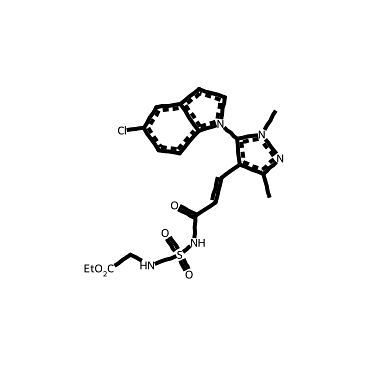 CCOC(=O)CNS(=O)(=O)NC(=O)C=Cc1c(C)nn(C)c1-n1ccc2cc(Cl)ccc21